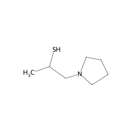 CC(S)CN1CCCC1